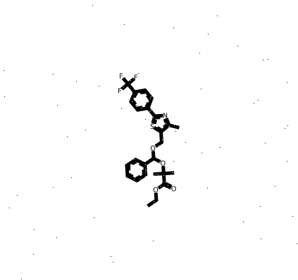 CCOC(=O)C(C)(C)OC(OCc1sc(-c2ccc(C(F)(F)F)cc2)nc1C)c1ccccc1